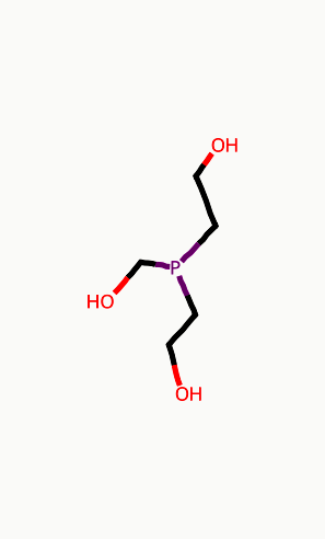 OCCP(CO)CCO